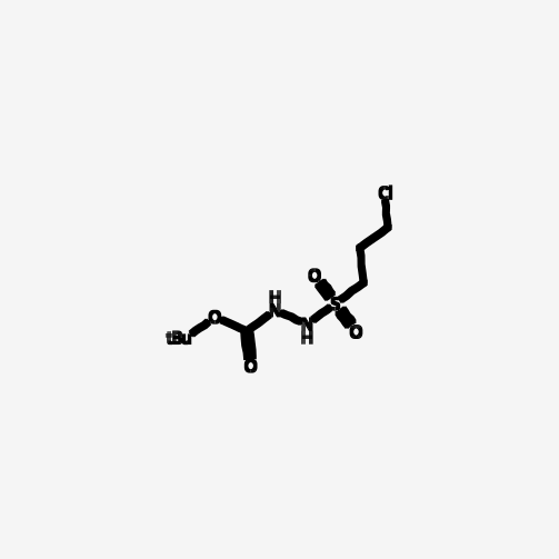 CC(C)(C)OC(=O)NNS(=O)(=O)CCCCl